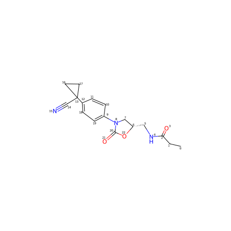 CCC(=O)NC[C@H]1CN(c2ccc(C3(C#N)CC3)cc2)C(=O)O1